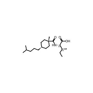 CC[C@H](C)[C@H](NC(=O)[C@]1(C)CC[C@@H](CCCC(C)C)CC1)C(=O)O